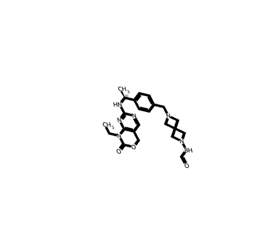 CCN1C(=O)OCc2cnc(N[C@@H](C)c3ccc(CN4CC5(CN(BC=O)C5)C4)cc3)nc21